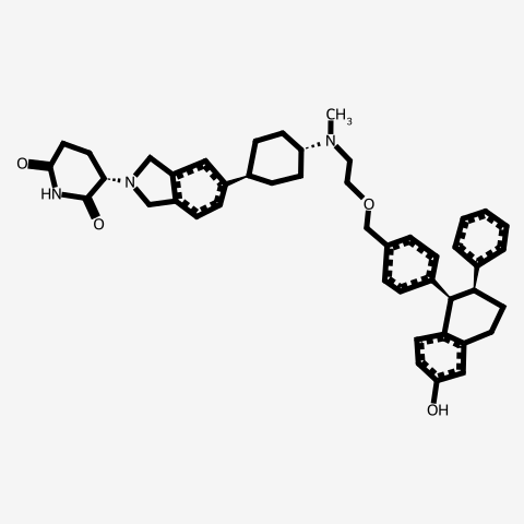 CN(CCOCc1ccc([C@@H]2c3ccc(O)cc3CC[C@@H]2c2ccccc2)cc1)[C@H]1CC[C@H](c2ccc3c(c2)CN([C@H]2CCC(=O)NC2=O)C3)CC1